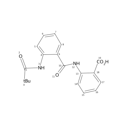 CC(C)(C)C(=O)Nc1ccccc1C(=O)Nc1ccccc1C(=O)O